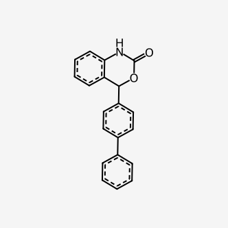 O=C1Nc2ccccc2C(c2ccc(-c3ccccc3)cc2)O1